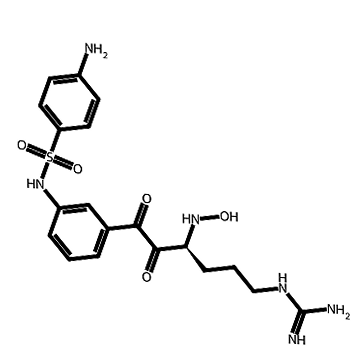 N=C(N)NCCC[C@H](NO)C(=O)C(=O)c1cccc(NS(=O)(=O)c2ccc(N)cc2)c1